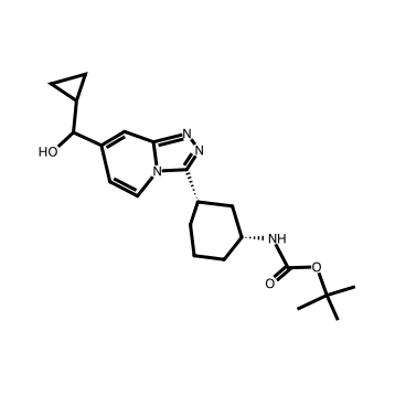 CC(C)(C)OC(=O)N[C@@H]1CCC[C@H](c2nnc3cc(C(O)C4CC4)ccn23)C1